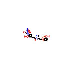 CS(=O)(=O)c1c(O)cccc1OCCCCNC(=O)CCc1ccc(N2CC(=O)NS2(=O)=O)c(O)c1